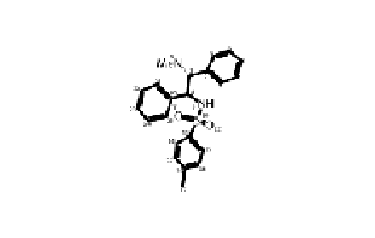 CN[C@H](c1ccccc1)C(NS(=O)(=O)c1ccc(C)cc1)c1ccccc1